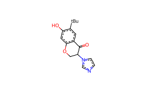 CC(C)(C)c1cc2c(cc1O)OCC(n1ccnc1)C2=O